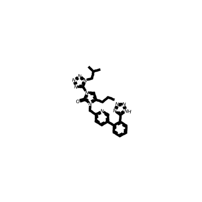 CCCc1cn(-c2nnnn2CC(C)C)c(=O)n1Cc1ccc(-c2ccccc2-c2nnn[nH]2)cn1